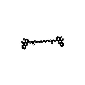 O=C(COc1ccc(F)c2c(=O)c3ccccc3sc12)OCCCCOCCCCOC(=O)COc1ccc(F)c2c(=O)c3ccccc3sc12